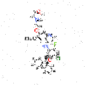 COc1cc2c(Nc3cc(O[Si](c4ccccc4)(c4ccccc4)C(C)(C)C)c(Cl)cc3F)ccnc2cc1OCCN1CCOCC1